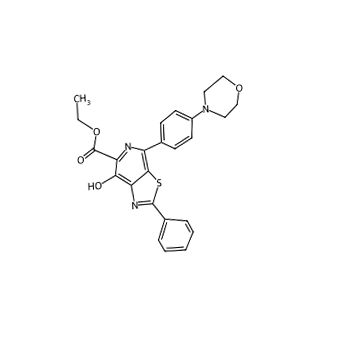 CCOC(=O)c1nc(-c2ccc(N3CCOCC3)cc2)c2sc(-c3ccccc3)nc2c1O